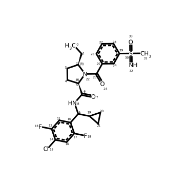 CC[C@@H]1CC[C@H](C(=O)NC(c2cc(F)c(Cl)cc2F)C2CC2)N1C(=O)c1cccc(S(C)(=N)=O)c1